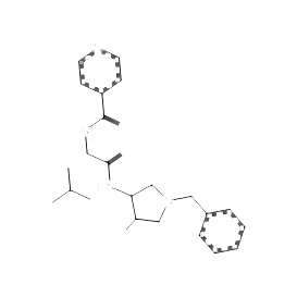 CC(C)C[C@H](NC(=O)c1ccncc1)C(=O)NC1CN(Cc2ccccc2)CC1O